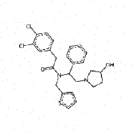 O=C(Cc1ccc(Cl)c(Cl)c1)N(Cc1cccs1)C(CN1CCC(O)C1)c1ccccc1